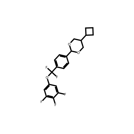 Fc1cc(OC(F)(F)c2ccc(C3OCC(C4CCC4)CO3)cc2)cc(F)c1F